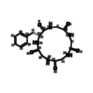 O=C1CNC(=O)CNC(=O)[C@@H](Cc2ccccc2)NC(=O)CNC(=O)CN1